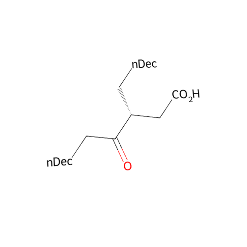 CCCCCCCCCCCC(=O)[C@H](CCCCCCCCCCC)CC(=O)O